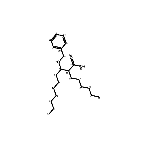 CCCCCCCC(OCc1ccccc1)C(CCCCCC)C(=O)O